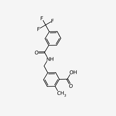 Cc1ccc(CNC(=O)c2cccc(C(F)(F)F)c2)cc1C(=O)O